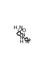 Cn1cc(-c2nc3c(C(N)=O)cccc3[nH]2)cn1